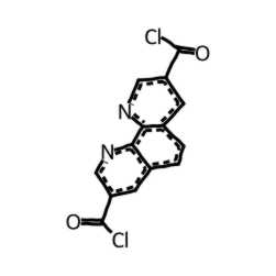 O=C(Cl)c1cnc2c(ccc3cc(C(=O)Cl)cnc32)c1